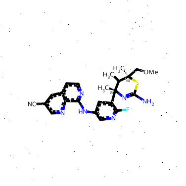 COC[C@@]1(C)SC(N)=N[C@](C)(c2cc(Nc3nccc4cc(C#N)cnc34)cnc2F)C1C